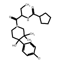 CCC(NC(=O)C1CCCC1)C(=O)N1CCC(O)(c2ccc(Cl)cc2)C(C)(C)C1